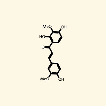 COc1cc(C=CC(=O)c2ccc(O)c(OC)c2O)ccc1O